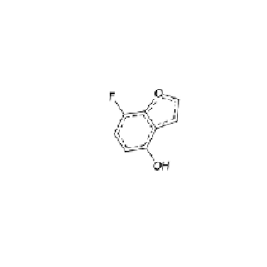 Oc1ccc(F)c2occc12